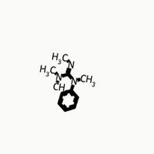 C/N=C(\N(C)C)N(C)c1ccccc1